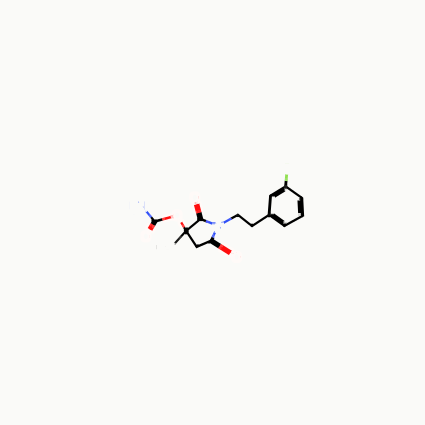 CC(C)(C)C1(OC(N)=O)CC(=O)N(CCc2cccc(F)c2)C1=O